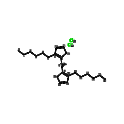 CCCCCCC1=[C]([Ti+2][C]2=C(CCCCCC)C=CC2)CC=C1.[Cl-].[Cl-]